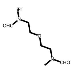 CC(C)N(C=O)CCOCCN(C)C=O